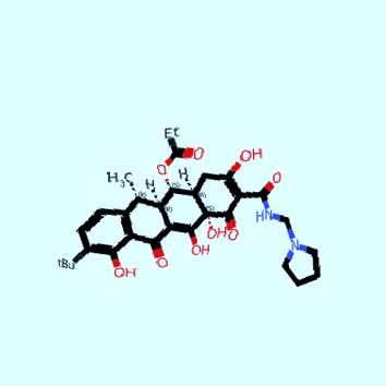 CCC(=O)O[C@H]1[C@H]2C(=C(O)[C@]3(O)C(=O)C(C(=O)NCN4CCCC4)=C(O)C[C@H]13)C(=O)c1c(ccc(C(C)(C)C)c1O)[C@@H]2C